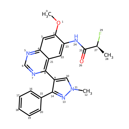 COc1cc2ncnc(-c3cn(C)nc3-c3ccccc3)c2cc1NC(=O)[C@H](C)F